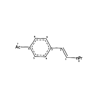 CCCC=Cc1ccc(C(C)=O)cc1